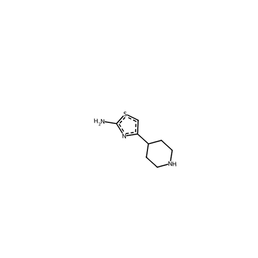 Nc1nc(C2CCNCC2)cs1